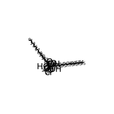 CCCCCCCCCCCCCCCC(=O)C(O)C(O)(C(=O)OC(C)Cl)C(O)C(=O)CCCCCCCCCCCCCCC